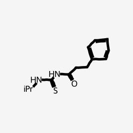 CC(C)NC(=S)NC(=O)CCc1ccccc1